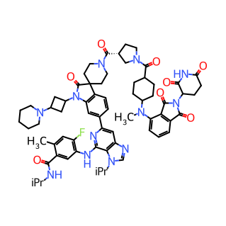 Cc1cc(F)c(Nc2nc(-c3ccc4c(c3)N(C3CC(N5CCCCC5)C3)C(=O)C43CCN(C(=O)[C@@H]4CCN(C(=O)C5CCC(N(C)c6cccc7c6C(=O)N(C6CCC(=O)NC6=O)C7=O)CC5)C4)CC3)cc3ncn(C(C)C)c23)cc1C(=O)NC(C)C